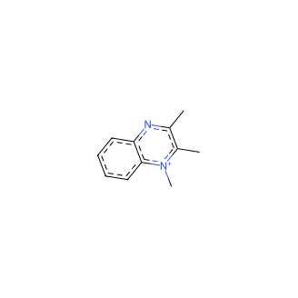 Cc1nc2ccccc2[n+](C)c1C